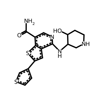 NC(=O)c1cnc(NC2CNCCC2O)c2cc(-c3ccsc3)sc12